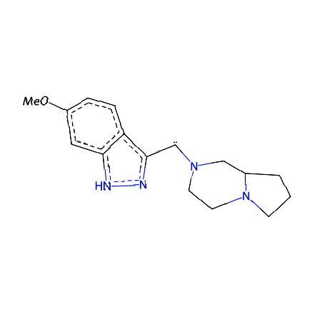 COc1ccc2c([C]N3CCN4CCCC4C3)n[nH]c2c1